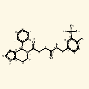 Cc1ccc(CNC(=O)CCC(=O)N2CCc3sccc3C2c2ccccc2)cc1C(F)(F)F